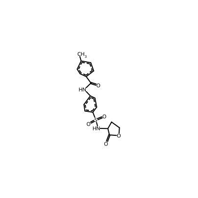 Cc1ccc(C(=O)Nc2ccc(S(=O)(=O)NC3CCOC3=O)cc2)cc1